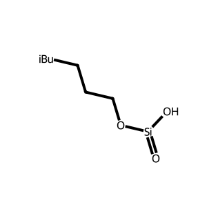 CCC(C)CCCO[Si](=O)O